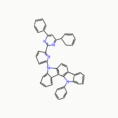 C1=CCC(c2cc(-c3ccccc3)nc(-c3cccc(-n4c5ccccc5c5c4ccc4c6ccccc6n(-c6ccccc6)c45)n3)n2)C=C1